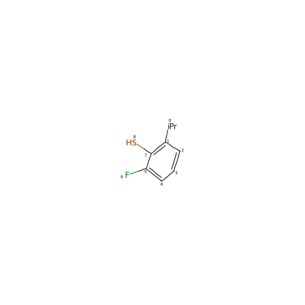 CC(C)c1cccc(F)c1S